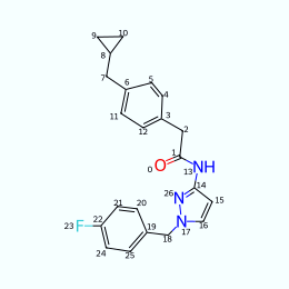 O=C(Cc1ccc(CC2CC2)cc1)Nc1ccn(Cc2ccc(F)cc2)n1